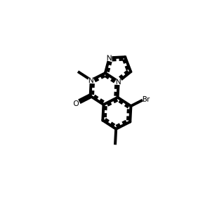 Cc1cc(Br)c2c(c1)c(=O)n(C)c1nccn21